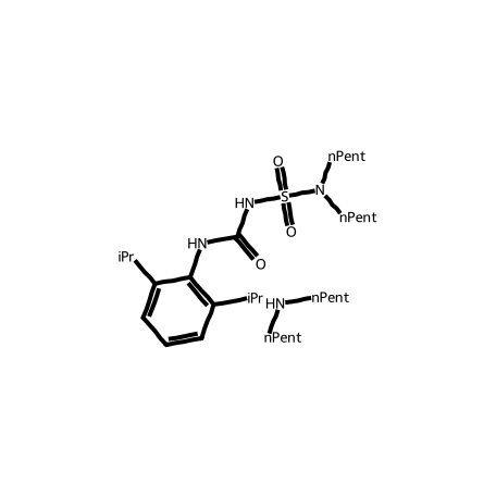 CCCCCN(CCCCC)S(=O)(=O)NC(=O)Nc1c(C(C)C)cccc1C(C)C.CCCCCNCCCCC